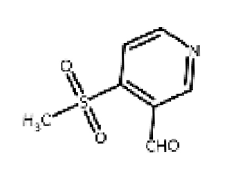 CS(=O)(=O)c1ccncc1C=O